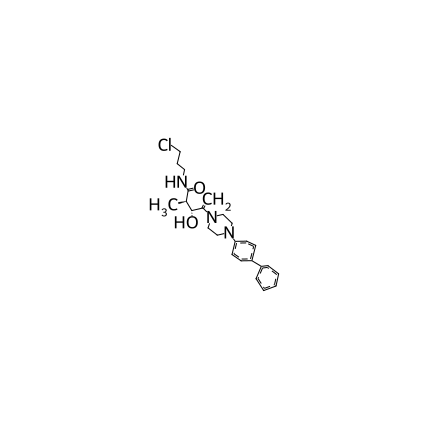 C=C([C@H](O)[C@@H](C)C(=O)NCCCCl)N1CCN(c2ccc(-c3ccccc3)cc2)CC1